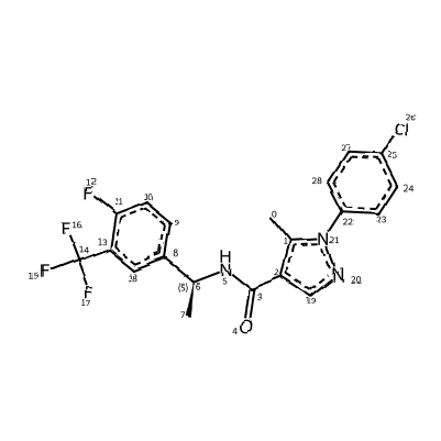 Cc1c(C(=O)N[C@@H](C)c2ccc(F)c(C(F)(F)F)c2)cnn1-c1ccc(Cl)cc1